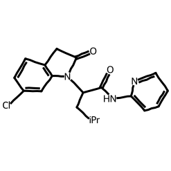 CC(C)CC(C(=O)Nc1ccccn1)N1C(=O)Cc2ccc(Cl)cc21